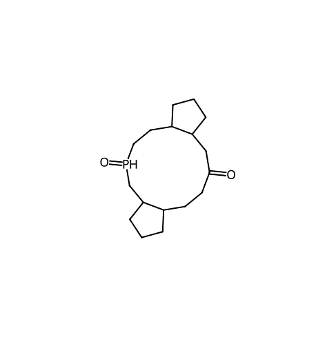 O=C1CCC2CCCC2C[PH](=O)CCC2CCCC2C1